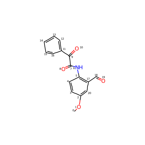 COc1ccc(NC(=O)C(=O)c2ccccc2)c(C=O)c1